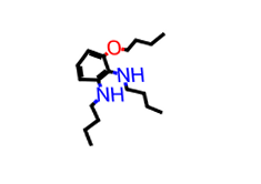 CCCCNc1cccc(OCCCC)c1NCCCC